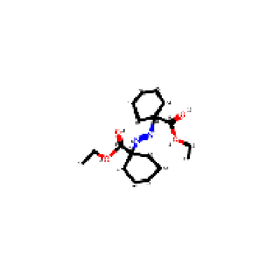 CCOC(=O)C1(N=NC2(C(=O)OCC)CCCCC2)CCCCC1